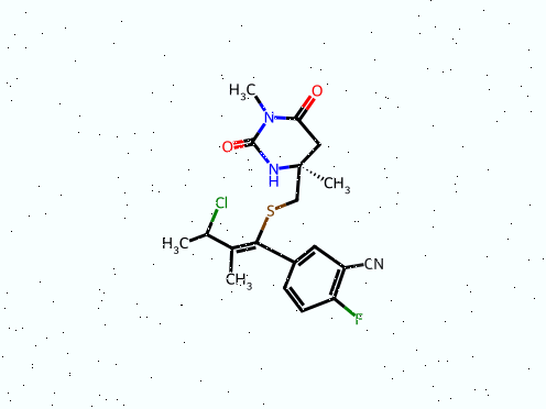 C/C(=C(/SC[C@]1(C)CC(=O)N(C)C(=O)N1)c1ccc(F)c(C#N)c1)C(C)Cl